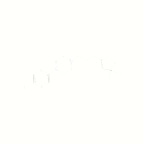 CCC1(CC)COC(CCCN2CCN(c3ccc(O)cc3)CC2)C1